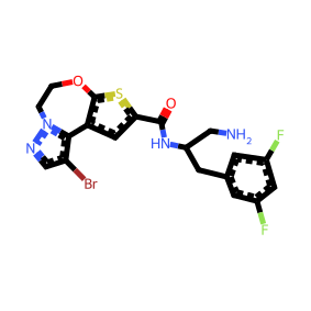 NCC(Cc1cc(F)cc(F)c1)NC(=O)c1cc2c(s1)OCCn1ncc(Br)c1-2